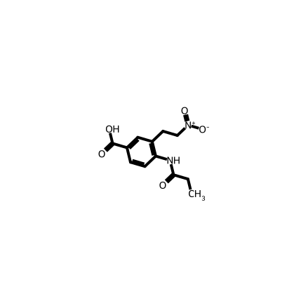 CCC(=O)Nc1ccc(C(=O)O)cc1CC[N+](=O)[O-]